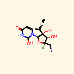 C=C=C(C)[C@]1(O)[C@H](N2C=CC(=O)NC2O)O[C@](F)(CI)[C@H]1O